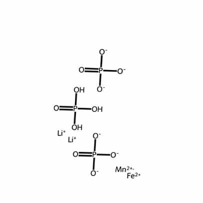 O=P(O)(O)O.O=P([O-])([O-])[O-].O=P([O-])([O-])[O-].[Fe+2].[Li+].[Li+].[Mn+2]